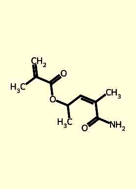 C=C(C)C(=O)OC(C)C=C(C)C(N)=O